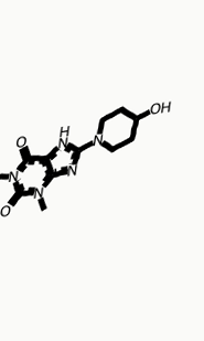 Cn1c(=O)c2[nH]c(N3CCC(O)CC3)nc2n(C)c1=O